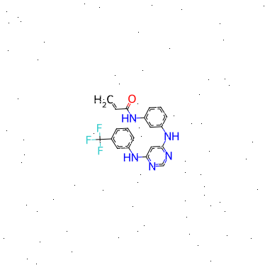 C=CC(=O)Nc1cccc(Nc2cc(Nc3cccc(C(F)(F)F)c3)ncn2)c1